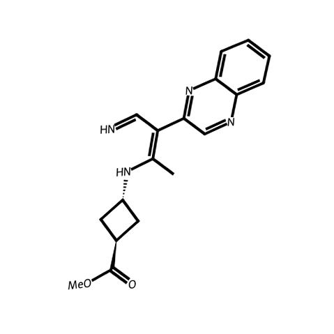 COC(=O)[C@H]1C[C@H](N/C(C)=C(\C=N)c2cnc3ccccc3n2)C1